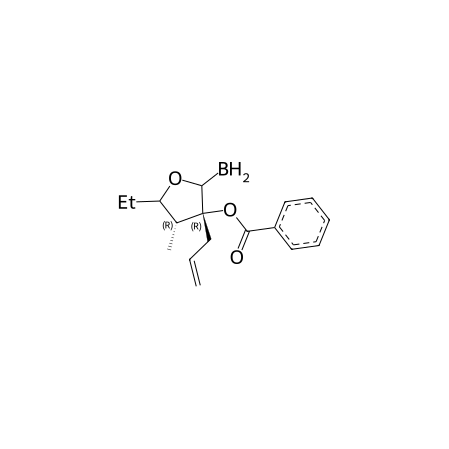 BC1OC(CC)[C@@H](C)[C@@]1(CC=C)OC(=O)c1ccccc1